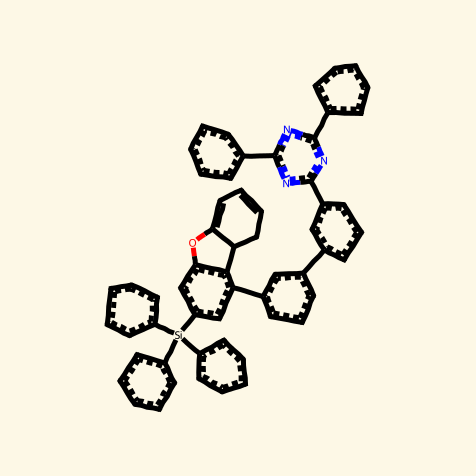 C1=CCC2C(=C1)Oc1cc([Si](c3ccccc3)(c3ccccc3)c3ccccc3)cc(-c3cccc(-c4cccc(-c5nc(-c6ccccc6)nc(-c6ccccc6)n5)c4)c3)c12